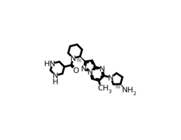 Cc1cn2nc([C@@H]3CCCCN3C(=O)C3CNCNC3)cc2nc1N1CC[C@H](N)C1